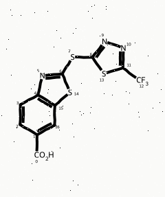 O=C(O)c1ccc2nc(Sc3nnc(C(F)(F)F)s3)sc2c1